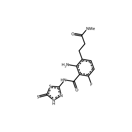 CNC(=O)CCc1ccc(F)c(C(=O)Nc2n[nH]c(=S)s2)c1N